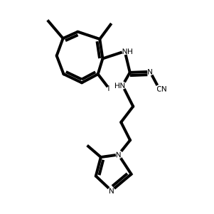 C/C1=C/C(C)=C(/N/C(=N/C#N)NCCCn2cncc2C)C(I)=C=CC1